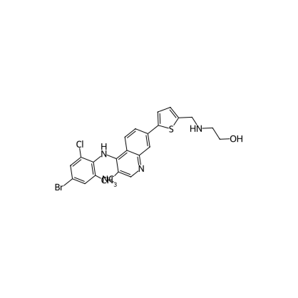 Cc1cc(Br)cc(Cl)c1Nc1c(C#N)cnc2cc(-c3ccc(CNCCO)s3)ccc12